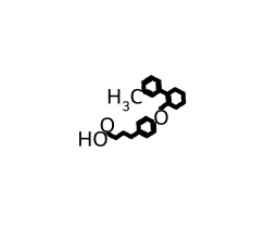 Cc1cccc(C2=C(COc3ccc(CCCC(=O)O)cc3)CCCC2)c1